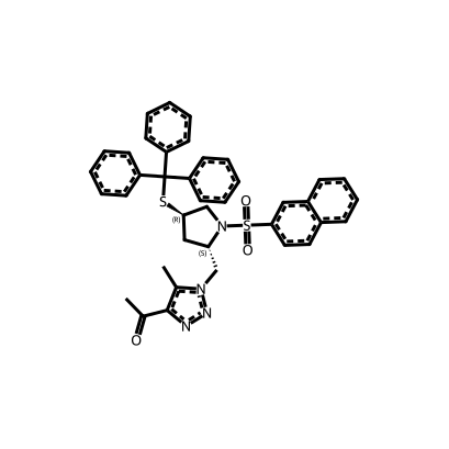 CC(=O)c1nnn(C[C@@H]2C[C@@H](SC(c3ccccc3)(c3ccccc3)c3ccccc3)CN2S(=O)(=O)c2ccc3ccccc3c2)c1C